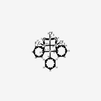 O=S(=O)(C(F)(F)F)C(S(c1ccccc1)(c1ccccc1)c1ccccc1)(S(=O)(=O)C(F)(F)F)S(=O)(=O)C(F)(F)F